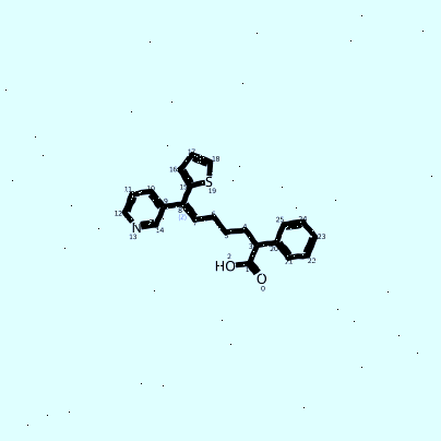 O=C(O)C(CCC/C=C(/c1cccnc1)c1cccs1)c1ccccc1